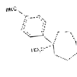 COc1ccc(C2(C(=O)O)CCCCCC2)cc1